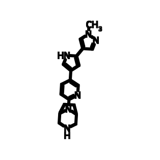 Cn1cc(-c2cc(-c3ccc(N4C5CCC4CNC5)nc3)c[nH]2)cn1